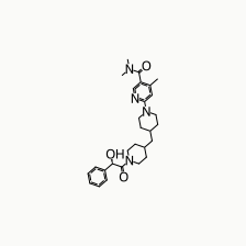 Cc1cc(N2CCC(CC3CCN(C(=O)[C@H](O)c4ccccc4)CC3)CC2)ncc1C(=O)N(C)C